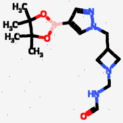 CC1(C)OB(c2cnn(CC3CN(CNC=O)C3)c2)OC1(C)C